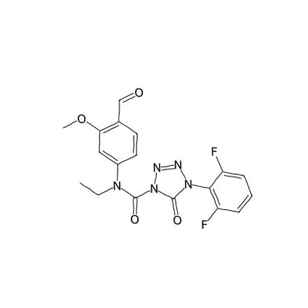 CCN(C(=O)n1nnn(-c2c(F)cccc2F)c1=O)c1ccc(C=O)c(OC)c1